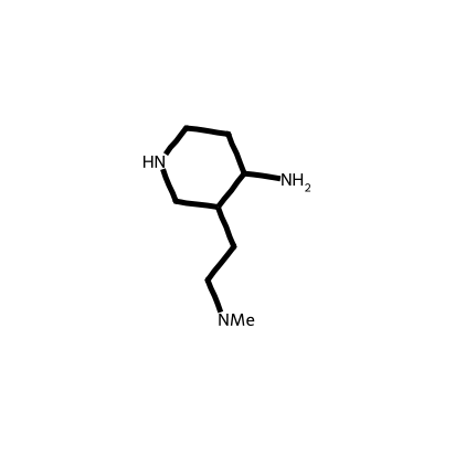 CNCCC1CNCCC1N